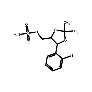 CC1(C)OC(COS(N)(=O)=O)C(c2ccccc2Cl)O1